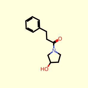 O=C(CCc1ccccc1)N1CCC(O)C1